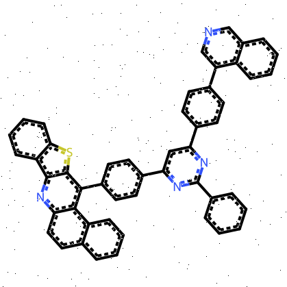 c1ccc(-c2nc(-c3ccc(-c4cncc5ccccc45)cc3)cc(-c3ccc(-c4c5sc6ccccc6c5nc5ccc6ccccc6c45)cc3)n2)cc1